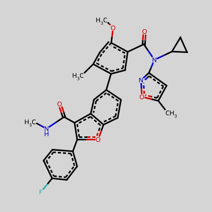 CNC(=O)c1c(-c2ccc(F)cc2)oc2ccc(-c3cc(C(=O)N(c4cc(C)on4)C4CC4)c(OC)cc3C)cc12